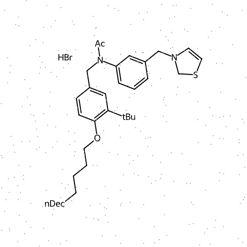 Br.CCCCCCCCCCCCCCOc1ccc(CN(C(C)=O)c2cccc(CN3C=CSC3)c2)cc1C(C)(C)C